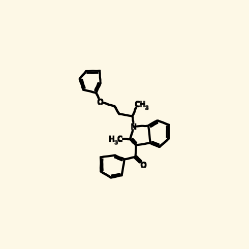 Cc1c(C(=O)c2ccccc2)c2ccccc2n1C(C)CCOc1ccccc1